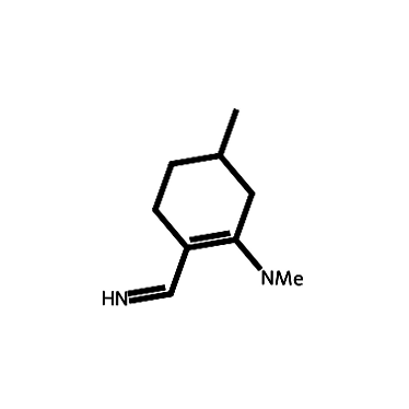 CNC1=C(C=N)CCC(C)C1